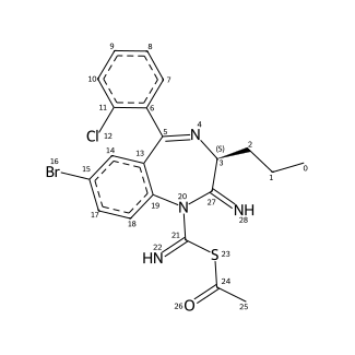 CCC[C@@H]1N=C(c2ccccc2Cl)c2cc(Br)ccc2N(C(=N)SC(C)=O)C1=N